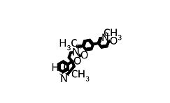 C[C@@H](c1ccc(-c2ccc(=O)n(C)c2)cc1)N1CCC(CC(C)(C)C#N)(c2ccccc2)OC1=O